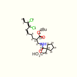 C=C/C(Cl)=C(Cl)\C=C/CCC(CNC(=O)C1(CC(=O)O)CCCC1)C(=O)OC(C)(C)C